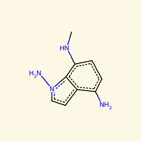 CNc1ccc(N)c2ccn(N)c12